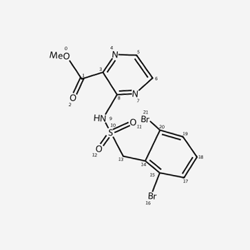 COC(=O)c1nccnc1NS(=O)(=O)Cc1c(Br)cccc1Br